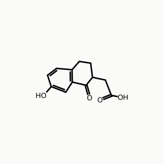 O=C(O)CC1CCc2ccc(O)cc2C1=O